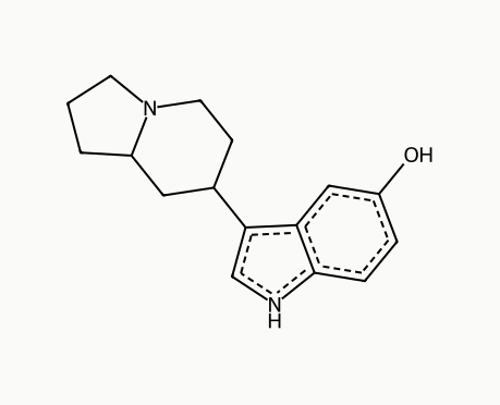 Oc1ccc2[nH]cc(C3CCN4CCCC4C3)c2c1